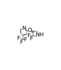 FC(F)(F)c1ccnc(O[C@@H]2CNCC2(F)F)c1